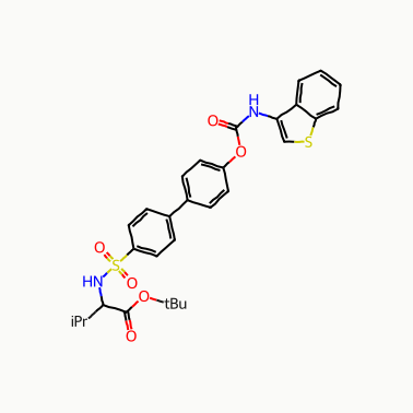 CC(C)C(NS(=O)(=O)c1ccc(-c2ccc(OC(=O)Nc3csc4ccccc34)cc2)cc1)C(=O)OC(C)(C)C